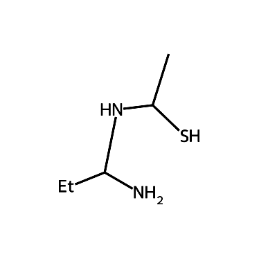 CCC(N)NC(C)S